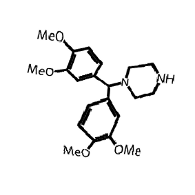 COc1ccc(C(c2ccc(OC)c(OC)c2)N2CCNCC2)cc1OC